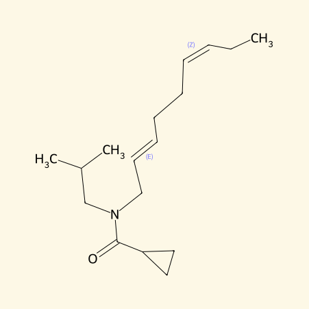 CC/C=C\CC/C=C/CN(CC(C)C)C(=O)C1CC1